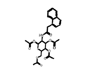 CC(=O)OCC1SC(OC(C)=O)C(NC(=O)Cc2cccc3ccccc23)C(OC(C)=O)C1OC(C)=O